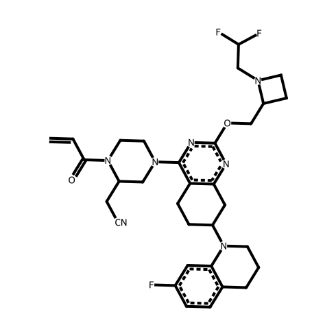 C=CC(=O)N1CCN(c2nc(OCC3CCN3CC(F)F)nc3c2CCC(N2CCCc4ccc(F)cc42)C3)CC1CC#N